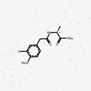 COC(=O)[C@H](C)NC(=O)Cc1ccc(OC)c(Cl)c1